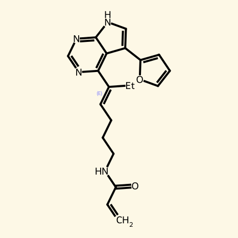 C=CC(=O)NCCC/C=C(\CC)c1ncnc2[nH]cc(-c3ccco3)c12